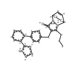 CCCc1c(Cc2ccc(-c3ccccc3-c3nnn[nH]3)cc2)c(=O)n2n1C1C=CC2CC1